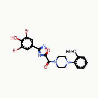 COc1ccccc1N1CCN(C(=O)c2nc(-c3cc(Br)c(O)c(Br)c3)no2)CC1